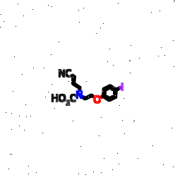 N#CC=CCN(CCOc1ccc(I)cc1)C(=O)O